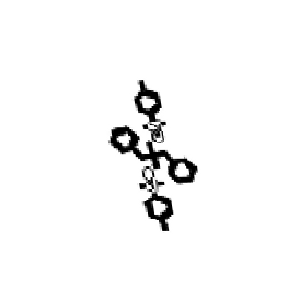 Cc1ccc([Si](C)(C)OCC(CO[Si](C)(C)c2ccc(C)cc2)(Cc2ccccc2)Cc2ccccc2)cc1